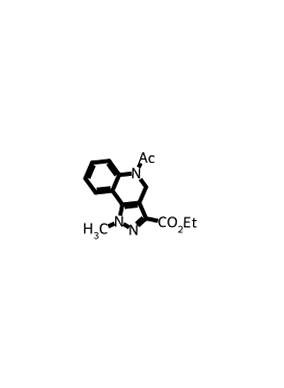 CCOC(=O)c1nn(C)c2c1CN(C(C)=O)c1ccccc1-2